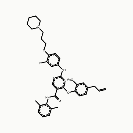 C=CCc1ccc(Oc2nc(Nc3ccc(OCCCN4CCCCC4)c(F)c3)ncc2C(=O)Nc2c(C)cccc2C)c(OC)c1